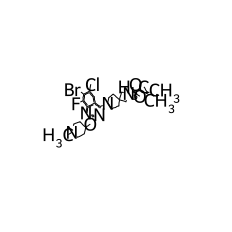 CN1CCC(Oc2nc(N3CCC4(CC3)CN(C(=O)OC(C)(C)C)C4)c3cc(Cl)c(Br)c(F)c3n2)CC1